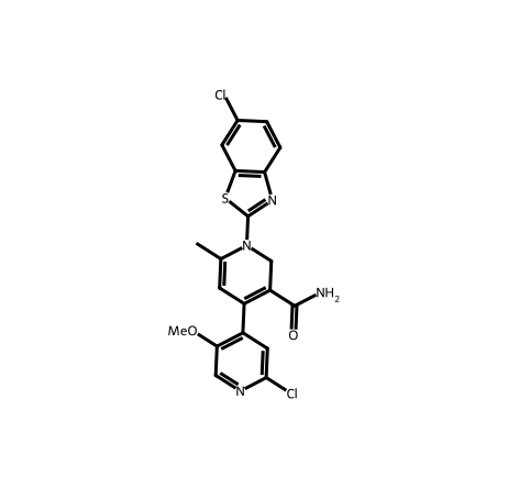 COc1cnc(Cl)cc1C1=C(C(N)=O)CN(c2nc3ccc(Cl)cc3s2)C(C)=C1